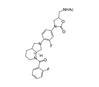 CC(=O)NCC1CN(c2ccc(N3CC4CCCN(C(=O)c5ccccc5F)[C@@H]4C3)c(F)c2)C(=O)O1